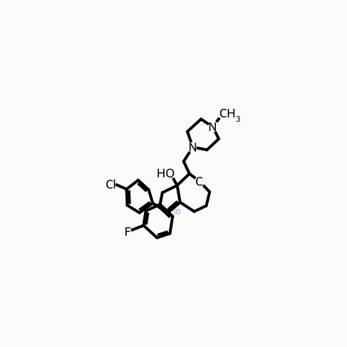 CN1CCN(CC2CCCC/C(=C/c3ccc(Cl)cc3)C2(O)Cc2cccc(F)c2)CC1